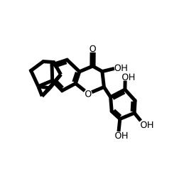 O=C1c2ccc(C34CCCC5C3C54)cc2OC(c2cc(O)c(O)cc2O)C1O